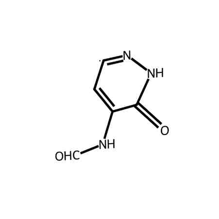 O=CNc1c[c]n[nH]c1=O